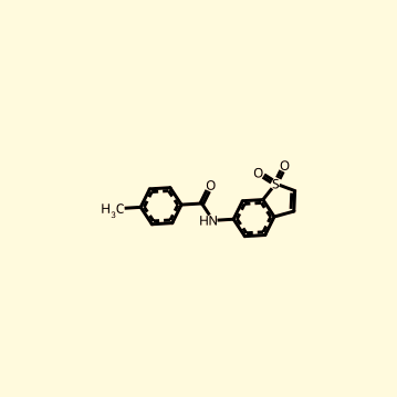 Cc1ccc(C(=O)Nc2ccc3c(c2)S(=O)(=O)C=C3)cc1